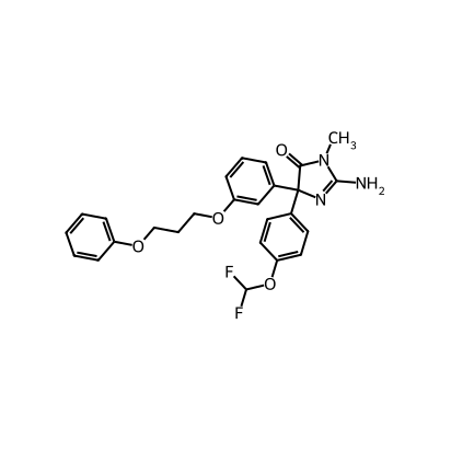 CN1C(=O)C(c2ccc(OC(F)F)cc2)(c2cccc(OCCCOc3ccccc3)c2)N=C1N